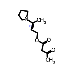 CC(=O)CC(=O)OC/C=C(\C)N1CCCC1